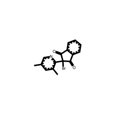 Cc1cnc(C2(Br)C(=O)c3ccccc3C2=O)c(C)c1